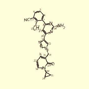 Cc1c(C#N)cccc1-c1cc(-c2cn(Cc3cccn(C4CC4)c3=O)nn2)nc(N)n1